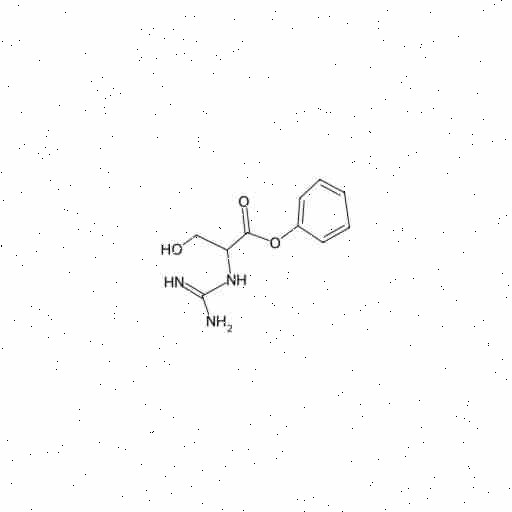 N=C(N)NC(CO)C(=O)Oc1ccccc1